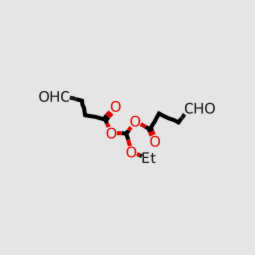 CCOC(OC(=O)CCC=O)OC(=O)CCC=O